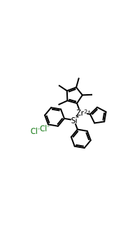 CC1=C(C)C(C)[C]([Zr+2]([C]2=CC=CC2)=[Si](c2ccccc2)c2ccccc2)=C1C.[Cl-].[Cl-]